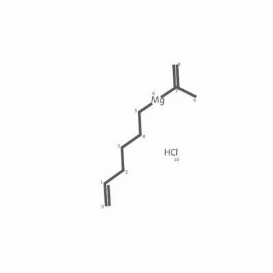 C=CCCC[CH2][Mg][C](=C)C.Cl